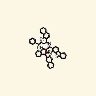 CCC/C=C(/N=C(\C/C(CC)=C(\C)c1ccccc1)c1ccc2ccccc2c1)c1ccc2c(sc3ccccc32)c1-n1c2cc3ccccc3cc2c2c3ccccc3ccc21